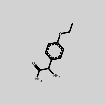 CCOc1ccc(C(N)C(N)=O)cc1